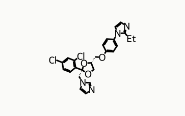 CCc1nccn1-c1ccc(OC[C@@H]2CO[C@@](Cn3ccnc3)(c3ccc(Cl)cc3Cl)O2)cc1